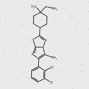 CC1(CN)CCN(c2nn3c(N)c(-c4cccc(Cl)c4Cl)nc3s2)CC1